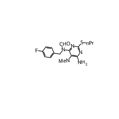 CCCSc1nc(N)c(NC)c(N(C=O)Cc2ccc(F)cc2)n1